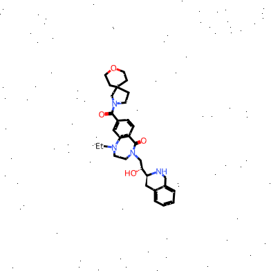 CCN1CCN(C[C@@H](O)[C@@H]2Cc3ccccc3CN2)C(=O)c2ccc(C(=O)N3CCC4(CCOCC4)C3)cc21